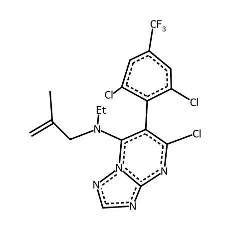 C=C(C)CN(CC)c1c(-c2c(Cl)cc(C(F)(F)F)cc2Cl)c(Cl)nc2ncnn12